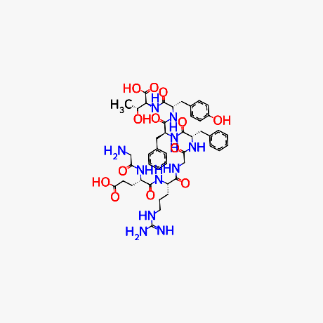 C[C@@H](O)[C@H](NC(=O)[C@H](Cc1ccc(O)cc1)NC(=O)[C@H](Cc1ccccc1)NC(=O)[C@H](Cc1ccccc1)NC(=O)CNC(=O)[C@H](CCCNC(=N)N)NC(=O)[C@H](CCC(=O)O)NC(=O)CN)C(=O)O